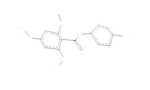 COc1cc(OC)c(C(=O)Pc2ccc(C)cc2)c(OC)c1.[LiH]